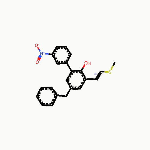 CS/C=C/c1cc(Cc2ccccc2)cc(-c2cccc([N+](=O)[O-])c2)c1O